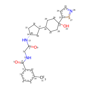 O=C(CNC(=O)c1cccc(C(F)(F)F)c1)N[C@@H]1CCC(C2CCC(O)(c3ccns3)CC2)C1